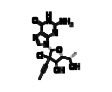 CC#CC1(Cl)C(O)[C@@H]([C@H](C)O)O[C@H]1n1cnc2c(=O)[nH]c(N)nc21